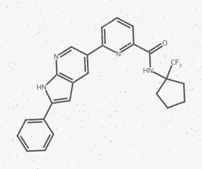 O=C(NC1(C(F)(F)F)CCCC1)c1cccc(-c2cnc3[nH]c(-c4ccccc4)cc3c2)n1